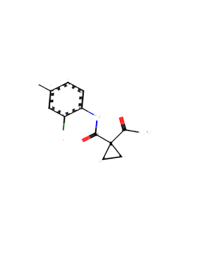 COC(=O)C1(C(=O)Nc2ccc(C(F)(F)F)cc2Cl)CC1